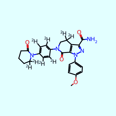 [2H]c1c([2H])c(N2C(=O)CCCC2([2H])[2H])c([2H])c([2H])c1N1CC([2H])([2H])c2c(C(N)=O)nn(-c3ccc(OC)cc3)c2C1=O